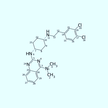 CN(C)c1nc(N[C@H]2CC[C@@H](NCCc3ccc(Cl)c(Cl)c3)CC2)nc2ccccc12